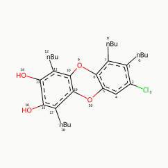 CCCCc1c(Cl)cc2c(c1CCCC)Oc1c(CCCC)c(O)c(O)c(CCCC)c1O2